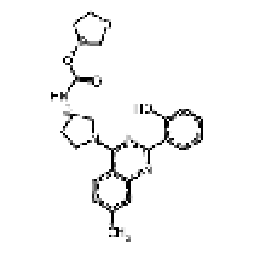 Cc1ccc2c(N3CC[C@H](NC(=O)O[C@H]4CCOC4)C3)nc(-c3ccccc3O)nc2c1